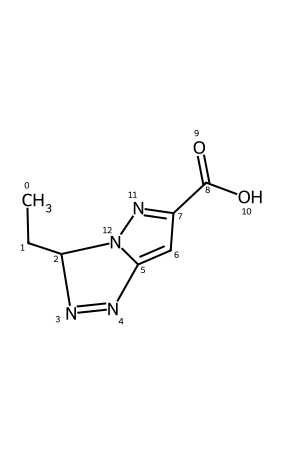 CCC1N=Nc2cc(C(=O)O)nn21